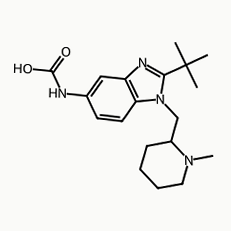 CN1CCCCC1Cn1c(C(C)(C)C)nc2cc(NC(=O)O)ccc21